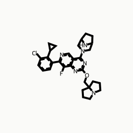 Fc1c(-c2cccc(Cl)c2C2CC2)ncc2c(N3CC4CCC(C3)N4)nc(OCC34CCCN3CCC4)nc12